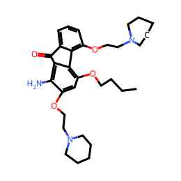 CCCCOc1cc(OCCN2CCCCC2)c(N)c2c1-c1c(OCCN3CCCCC3)cccc1C2=O